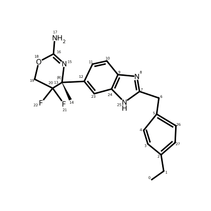 CCc1ccc(Cc2nc3ccc([C@@]4(C)N=C(N)OCC4(F)F)cc3[nH]2)cc1